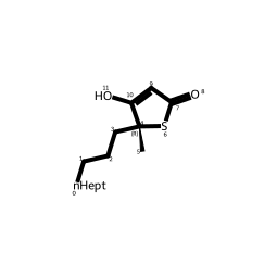 CCCCCCCCCC[C@@]1(C)SC(=O)C=C1O